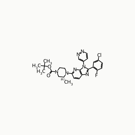 C[C@@H]1CN(C(=O)OC(C)(C)C)CCN1c1ccc2nc(-c3cc(Cl)ccc3F)n(-c3ccnnc3)c2n1